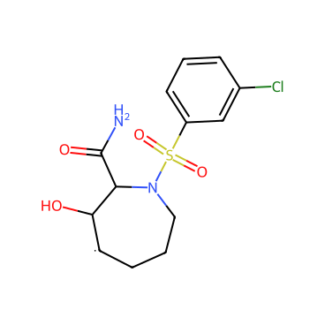 NC(=O)C1C(O)[CH]CCCN1S(=O)(=O)c1cccc(Cl)c1